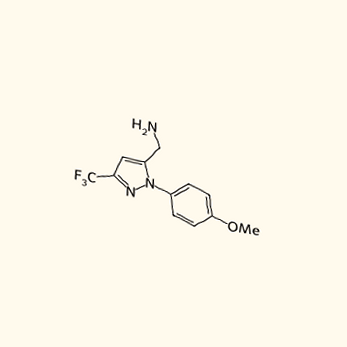 COc1ccc(-n2nc(C(F)(F)F)cc2CN)cc1